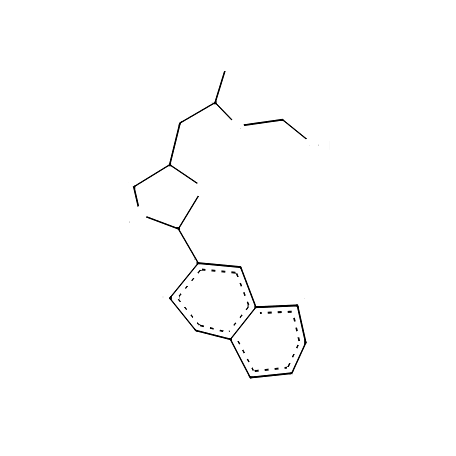 CC(CC1CSC(c2ccc3ccccc3c2)S1)SCO